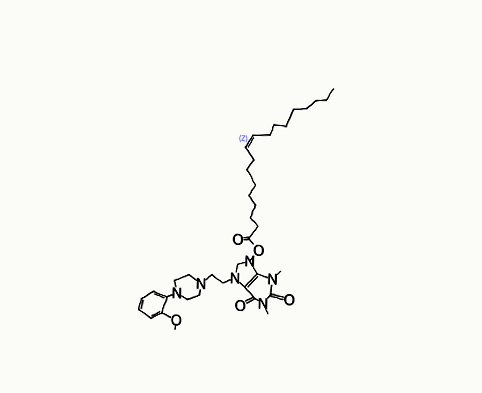 CCCCCCCC/C=C\CCCCCCCC(=O)ON1CN(CCN2CCN(c3ccccc3OC)CC2)c2c1n(C)c(=O)n(C)c2=O